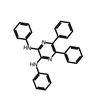 c1ccc(Nc2nc(-c3ccccc3)c(-c3ccccc3)nc2Nc2ccccc2)cc1